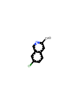 O=Cc1cc2ccc(Cl)cc2[c]n1